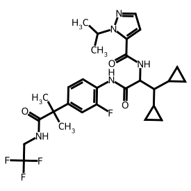 CC(C)n1nccc1C(=O)NC(C(=O)Nc1ccc(C(C)(C)C(=O)NCC(F)(F)F)cc1F)C(C1CC1)C1CC1